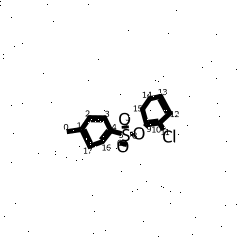 Cc1ccc(S(=O)(=O)OC2=C(Cl)C=CCC2)cc1